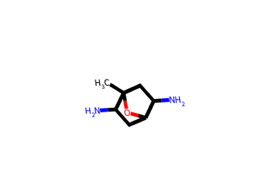 CC12CC(N)C(CC1N)O2